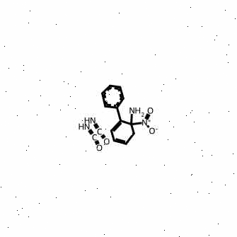 N=C=O.N=C=O.NC1([N+](=O)[O-])CC=CC=C1c1ccccc1